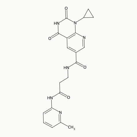 Cc1cccc(NC(=O)CCNC(=O)c2cnc3c(c2)c(=O)[nH]c(=O)n3C2CC2)n1